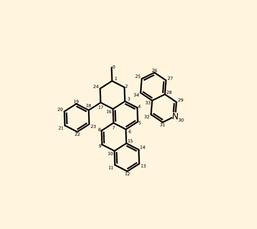 CC1Cc2ccc3c(ccc4ccccc43)c2C(c2ccccc2)C1.c1ccc2cnccc2c1